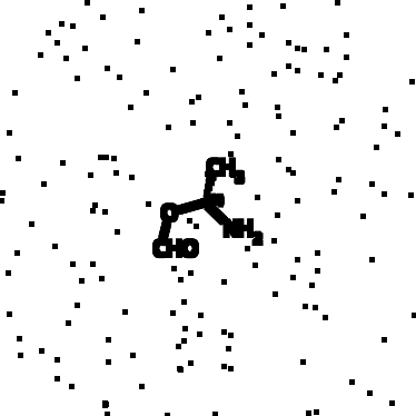 C[C@H](N)OC=O